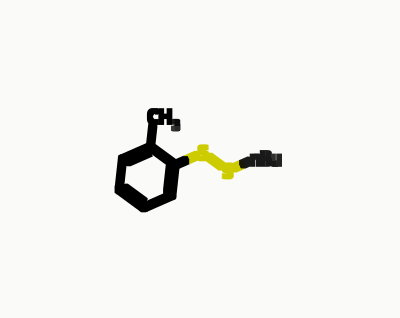 CCCCSSc1ccccc1C